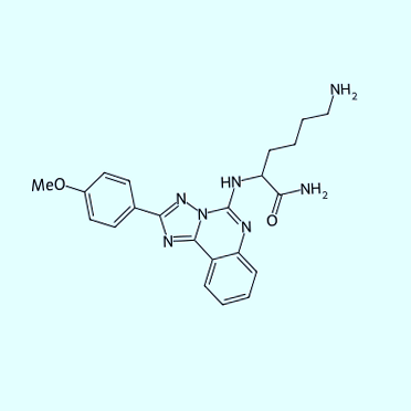 COc1ccc(-c2nc3c4ccccc4nc(NC(CCCCN)C(N)=O)n3n2)cc1